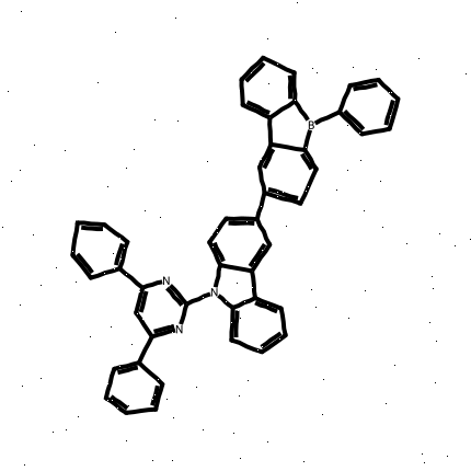 c1ccc(B2c3ccccc3-c3cc(-c4ccc5c(c4)c4ccccc4n5-c4nc(-c5ccccc5)cc(-c5ccccc5)n4)ccc32)cc1